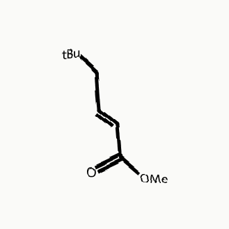 COC(=O)C=CCC(C)(C)C